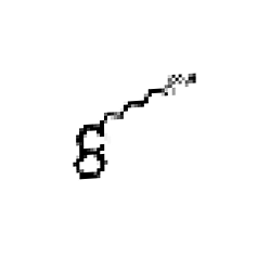 O=C(O)NCCCCCc1ccc2ccccc2n1